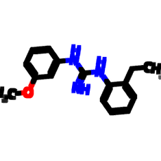 CCc1ccccc1NC(=N)Nc1cccc(OC)c1